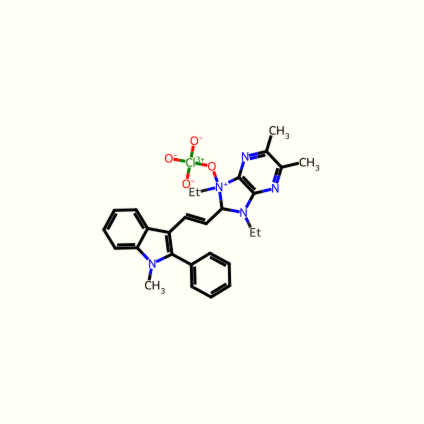 CCN1c2nc(C)c(C)nc2[N+](CC)(O[Cl+3]([O-])([O-])[O-])C1C=Cc1c(-c2ccccc2)n(C)c2ccccc12